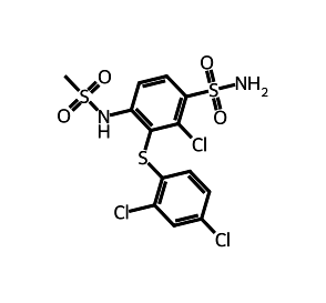 CS(=O)(=O)Nc1ccc(S(N)(=O)=O)c(Cl)c1Sc1ccc(Cl)cc1Cl